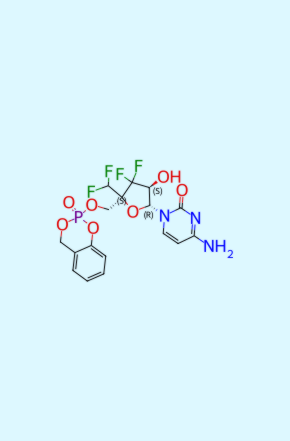 Nc1ccn([C@@H]2O[C@@](COP3(=O)OCc4ccccc4O3)(C(F)F)C(F)(F)[C@H]2O)c(=O)n1